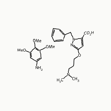 CN(C)CCCOc1cc(C(=O)O)n(Cc2ccccc2)n1.COc1cc(N)cc(OC)c1OC